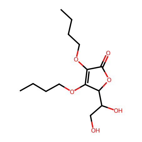 CCCCOC1=C(OCCCC)C(C(O)CO)OC1=O